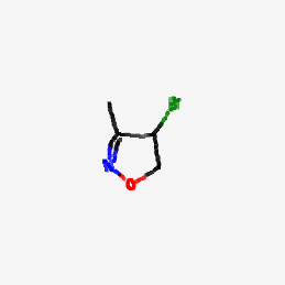 CC1=NOCC1Br